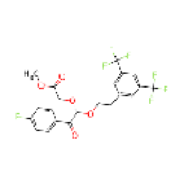 COC(=O)CO[C@H](OCCc1cc(C(F)(F)F)cc(C(F)(F)F)c1)C(=O)c1ccc(F)cc1